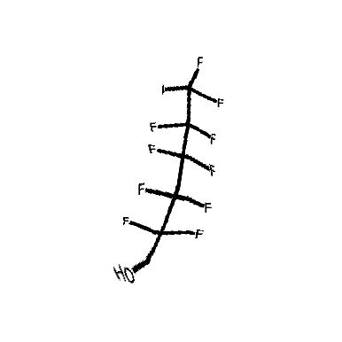 OCC(F)(F)C(F)(F)C(F)(F)C(F)(F)C(F)(F)I